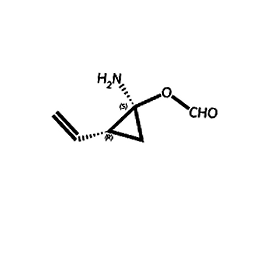 C=C[C@H]1C[C@]1(N)OC=O